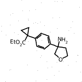 CCOC(=O)C1(c2ccc(C3(N)CCOC3)cc2)CC1